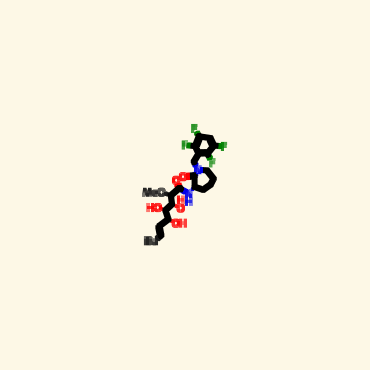 CCC(C)/C=C/[C@@H](O)[C@H](O)[C@@H](O)[C@@H](OC)C(=O)N[C@H]1CCCCN(Cc2c(F)c(F)cc(F)c2F)C1=O